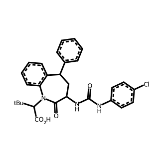 CC(C)(C)C(C(=O)O)N1C(=O)C(NC(=O)Nc2ccc(Cl)cc2)CC(c2ccccc2)c2ccccc21